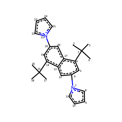 CC(C)(C)c1cc(-n2cccc2)cc2c(C(C)(C)C)cc(-n3cccc3)cc12